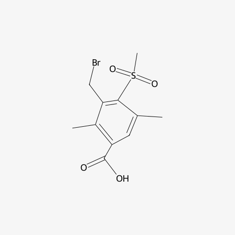 Cc1cc(C(=O)O)c(C)c(CBr)c1S(C)(=O)=O